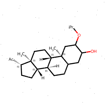 CC(=O)[C@H]1CC[C@H]2[C@@H]3CCC4CC(O)C(OC(C)C)C[C@]4(C)[C@H]3CC[C@]12C